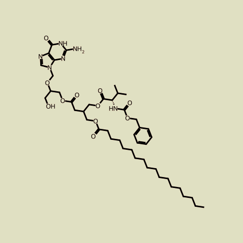 CCCCCCCCCCCCCCCCCC(=O)OCC(COC(=O)[C@@H](NC(=O)OCc1ccccc1)C(C)C)CC(=O)OCC(CO)OCn1cnc2c(=O)[nH]c(N)nc21